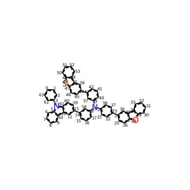 c1ccc(-n2c3ccccc3c3cc(-c4cccc(N(c5ccc(-c6ccc7oc8ccccc8c7c6)cc5)c5cccc(-c6ccc7sc8ccccc8c7c6)c5)c4)ccc32)cc1